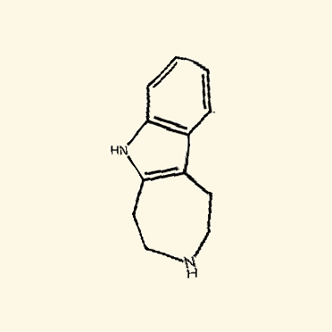 [c]1cccc2[nH]c3c(c12)CCNCC3